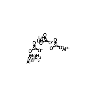 O=[Si]([O-])[O-].O=[Si]([O-])[O-].O=[Si]([O-])[O-].[Al+3].[Al+3].[LiH].[LiH].[MgH2].[MgH2]